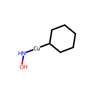 O[NH][Cu][CH]1CCCCC1